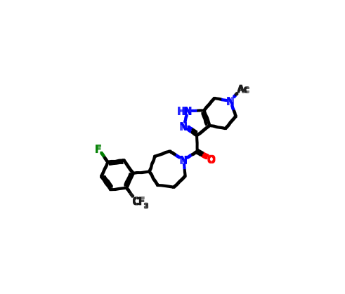 CC(=O)N1CCc2c(C(=O)N3CCCC(c4cc(F)ccc4C(F)(F)F)CC3)n[nH]c2C1